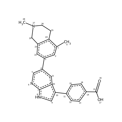 Cc1cc(-c2cnc3[nH]cc(-c4ccc(C(=O)O)cc4)c3c2)cc2c1CCN(C)C2